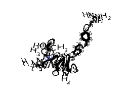 CC(C)(O/N=C(\C(=O)N[C@@H]1C(=O)N2C(C(N)=O)=C(C[n+]3ccc4c(ccn4Cc4ccc(OCCNC(=N)N)cc4)c3)CS[C@H]12)c1csc(N)n1)C(=O)O